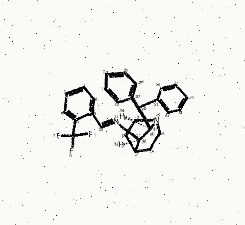 FC(F)(F)c1ccccc1C=N[C@@H]1C2CCN(CC2)[C@@H]1C(c1ccccc1)c1ccccc1